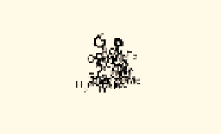 CC[C@H](C)[C@@H]([C@@H](CC(=O)N1CCC[C@H]1[C@H](OC)[C@@H](C)C(=O)N[C@H](C)[C@@H](O)c1ccccc1)OC)N(C)C(=O)[C@@H](NC(=O)C(C(C)C)N(C)C(=O)CCCCCC1C(=O)CC(SC2CCCCCCC2)C1=O)C(C)C